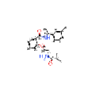 CC(C)C(N)=O.[CH2]c1cccc(C(C)NC(=O)c2ccccc2OCC)c1